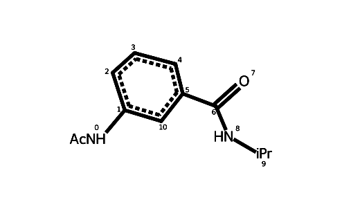 CC(=O)Nc1cccc(C(=O)NC(C)C)c1